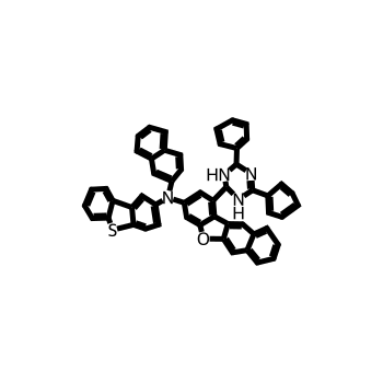 c1ccc(C2=NC(c3ccccc3)NC(c3cc(N(c4ccc5ccccc5c4)c4ccc5sc6ccccc6c5c4)cc4oc5cc6ccccc6cc5c34)N2)cc1